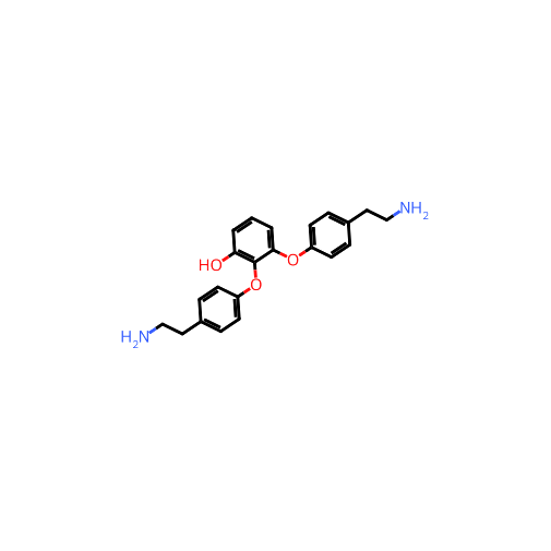 NCCc1ccc(Oc2cccc(O)c2Oc2ccc(CCN)cc2)cc1